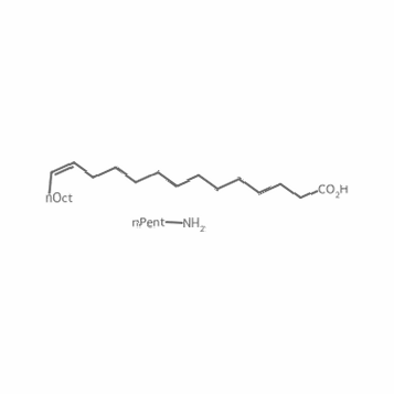 CCCCCCCC/C=C\CCCCCCCCCCCC(=O)O.CCCCCN